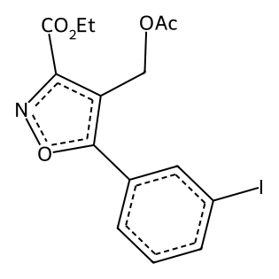 CCOC(=O)c1noc(-c2cccc(I)c2)c1COC(C)=O